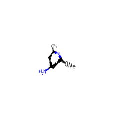 COc1cc(N)cc(C(F)(F)F)n1